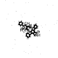 CN(C(=O)c1ccccc1)[C@@H]1C[C@H]2O[C@@](C)([C@@H]1O)n1c3ccccc3c3c4c(c5c6ccccc6n2c5c31)C(=O)NC4